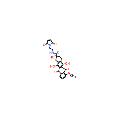 COc1cccc2c1C(=O)c1c(O)c3c(c(O)c1C2=O)C[C@@](O)(C(=O)NCCN1C(=O)C=CC1=O)CC3